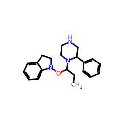 CCC(ON1CCc2ccccc21)N1CCNCC1c1ccccc1